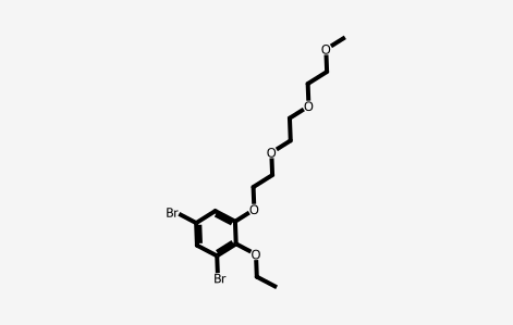 CCOc1c(Br)cc(Br)cc1OCCOCCOCCOC